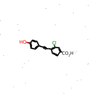 O=C(O)c1ccc(C#Cc2ccc(O)cc2)c(Cl)c1